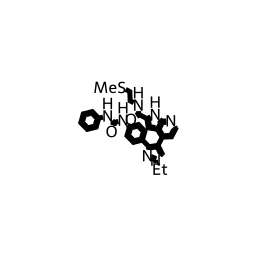 CCn1cc(-c2ccnc3[nH]c(C(=O)NCCSC)cc23)c(-c2ccc(NC(=O)Nc3ccccc3)cc2)n1